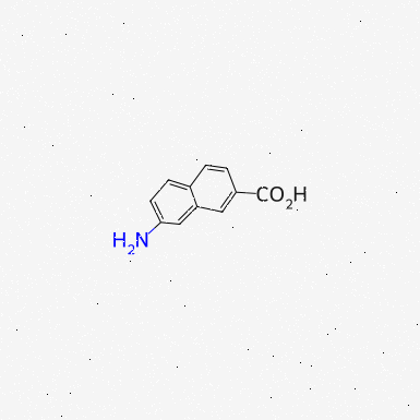 Nc1ccc2ccc(C(=O)O)cc2c1